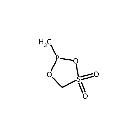 CP1OCS(=O)(=O)O1